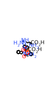 C[C@H](N)C(=O)N(CC(=O)N1CCC[C@]1(C(=O)O)P(=O)(Cc1ccccc1)Cc1ccccc1)C1Cc2ccccc2C1.N=C(N)NCCC[C@H](N)C(=O)O